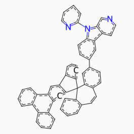 C1=Cc2ccc(-c3ccc4c(c3)c3ccncc3n4-c3ccccn3)cc2C2(c3ccccc31)c1ccccc1-c1cc3c4ccccc4c4ccccc4c3cc12